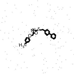 Cc1ccc(OCc2nnc(SCCc3ccc(-c4ccccc4)cc3)o2)cc1